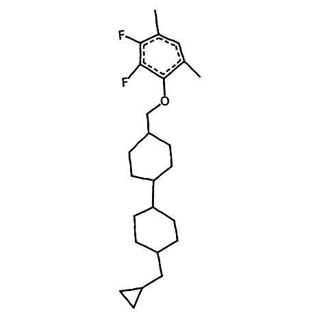 Cc1cc(C)c(OCC2CCC(C3CCC(CC4CC4)CC3)CC2)c(F)c1F